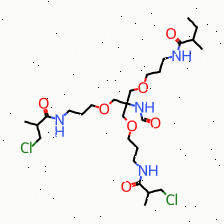 CCC(C)C(=O)NCCCOCC(COCCCNC(=O)C(C)CCl)(COCCCNC(=O)C(C)CCl)NC=O